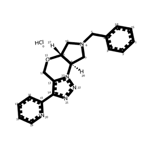 Cl.c1ccc(CN2C[C@@H]3[C@@H](C2)OCc2c(-c4ccccn4)nnn23)cc1